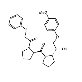 COc1ccc(OCC(O)[C@@H]2CCCN2C(=O)[C@H]2CCCN2C(=O)CSc2ccccc2)cc1